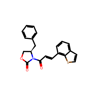 O=C(C=Cc1cccc2ccsc12)N1C(=O)OC[C@H]1Cc1ccccc1